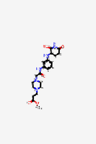 CC(C)(C)OC(=O)CCN1CCN(CC(=O)Nc2cccc(NC3CCC(=O)NC3O)c2)CC1